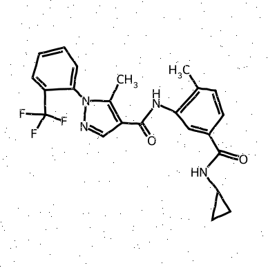 Cc1ccc(C(=O)NC2CC2)cc1NC(=O)c1cnn(-c2ccccc2C(F)(F)F)c1C